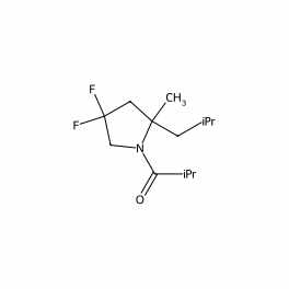 CC(C)CC1(C)CC(F)(F)CN1C(=O)C(C)C